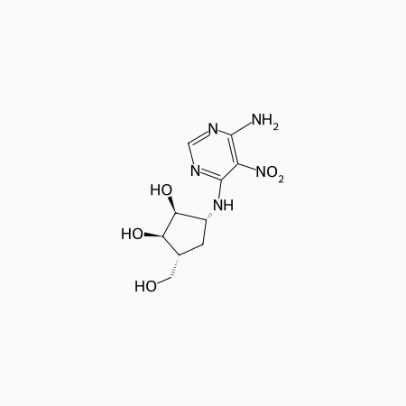 Nc1ncnc(N[C@@H]2C[C@H](CO)[C@@H](O)[C@H]2O)c1[N+](=O)[O-]